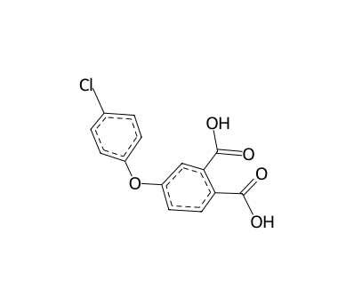 O=C(O)c1ccc(Oc2ccc(Cl)cc2)cc1C(=O)O